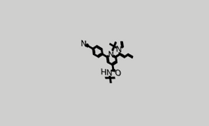 C=C/C=C(/c1cc(C(=O)NC(C)(C)C)cc(-c2ccc(C#N)cc2)n1)N(C=C)C(C)(C)C